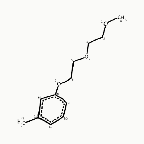 COCCOCCOc1cccc(C)c1